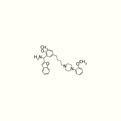 COc1ccc(CCCCN2CCN(c3ccccc3OC)CC2)cc1C(N)c1cc2ccccc2o1